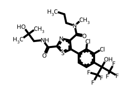 CCCN(C)C(=O)c1nc(C(=O)NCC(C)(C)O)sc1-c1ccc(C(O)(C(F)(F)F)C(F)(F)F)c(Cl)c1Cl